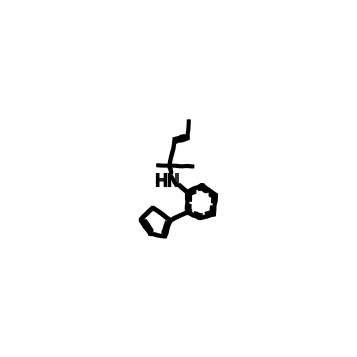 CC=CC(C)(C)Nc1ccccc1C1=CC=CC1